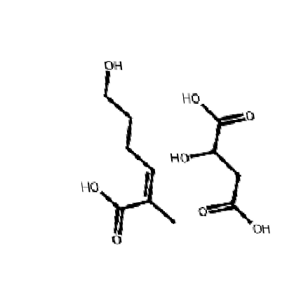 CC(=CCCCO)C(=O)O.O=C(O)CC(O)C(=O)O